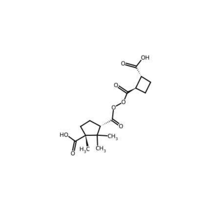 CC1(C)[C@@H](C(=O)OOC(=O)[C@@H]2CC[C@H]2C(=O)O)CC[C@@]1(C)C(=O)O